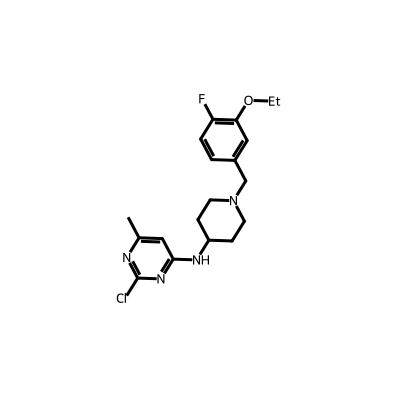 CCOc1cc(CN2CCC(Nc3cc(C)nc(Cl)n3)CC2)ccc1F